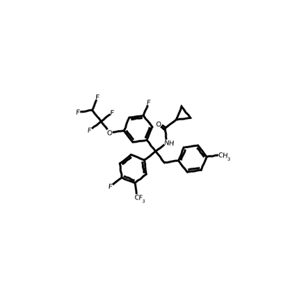 Cc1ccc(CC(NC(=O)C2CC2)(c2cc(F)cc(OC(F)(F)C(F)F)c2)c2ccc(F)c(C(F)(F)F)c2)cc1